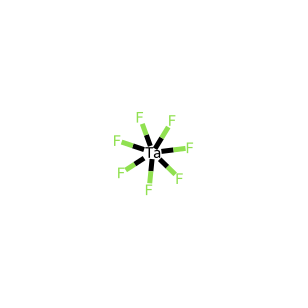 [F][Ta]([F])([F])([F])([F])([F])[F]